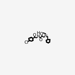 O=C(CNC(=O)C1CN(Cc2ccccc2)CCO1)c1ccc(Cl)cc1